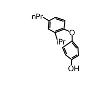 CCCc1ccc(Oc2ccc(O)cc2)c(C(C)C)c1